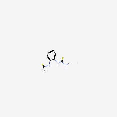 CNC(=S)Nc1ccccc1NC(=S)NC(=O)O